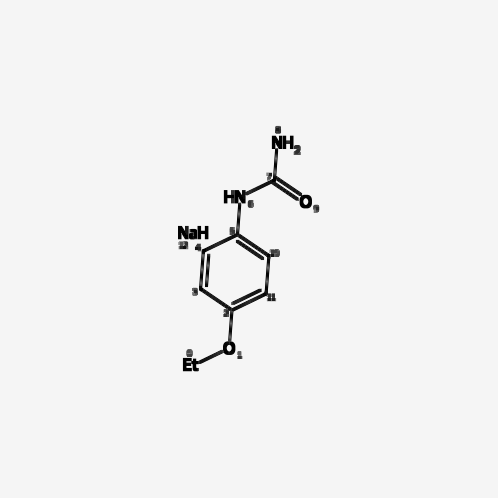 CCOc1ccc(NC(N)=O)cc1.[NaH]